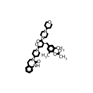 CC(=O)Oc1c(C)cc(C[C@@H](CC(=O)N2CCC(N3CCc4ccccc4NC3=O)CC2)C(=O)N2CCN(C3CCOCC3)CC2)cc1C